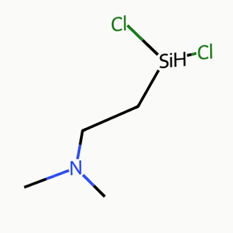 CN(C)CC[SiH](Cl)Cl